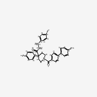 O=C(c1ccc(-c2ccc(F)cc2)cc1)N1CCC(C(=O)NNc2ccc(F)cc2)(c2ccc(F)cc2)CC1